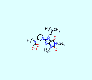 CC(C)=CCn1c(N2CCCC(N(C)C(=O)CO)C2)nc2c1c(=O)n(C)c(=O)n2C